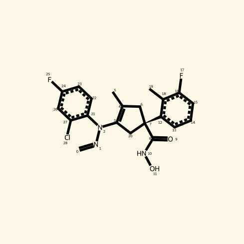 C=NN(C1=C(C)C[C@@](C(=O)NO)(c2cccc(F)c2C)C1)c1ccc(F)cc1Cl